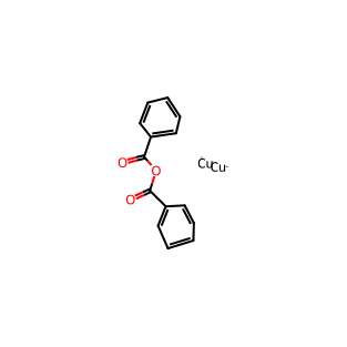 O=C(OC(=O)c1ccccc1)c1ccccc1.[Cu].[Cu]